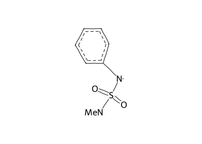 CNS(=O)(=O)[N]c1ccccc1